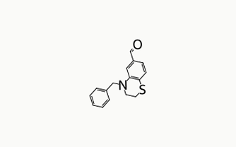 O=Cc1ccc2c(c1)N(Cc1ccccc1)CCS2